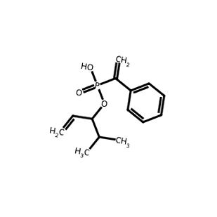 C=CC(OP(=O)(O)C(=C)c1ccccc1)C(C)C